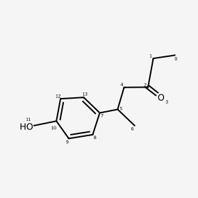 CCC(=O)CC(C)c1ccc(O)cc1